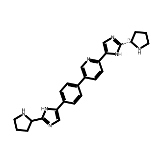 c1cc(-c2cnc(C3CCCN3)[nH]2)ccc1-c1ccc(-c2cnc([C@@H]3CCCN3)[nH]2)nc1